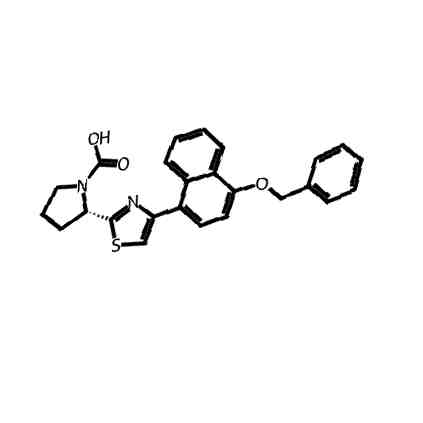 O=C(O)N1CCC[C@H]1c1nc(-c2ccc(OCc3ccccc3)c3ccccc23)cs1